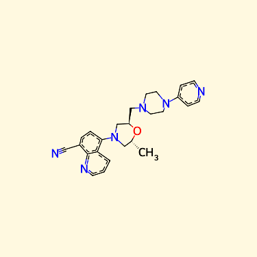 C[C@@H]1CN(c2ccc(C#N)c3ncccc23)C[C@@H](CN2CCN(c3ccncc3)CC2)O1